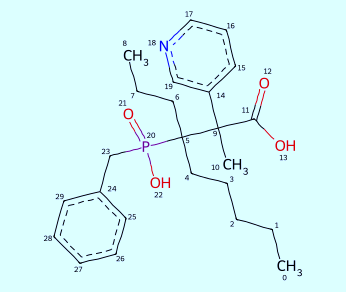 CCCCCC(CCC)(C(C)(C(=O)O)c1cccnc1)P(=O)(O)Cc1ccccc1